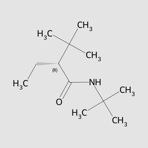 CC[C@@H](C(=O)NC(C)(C)C)C(C)(C)C